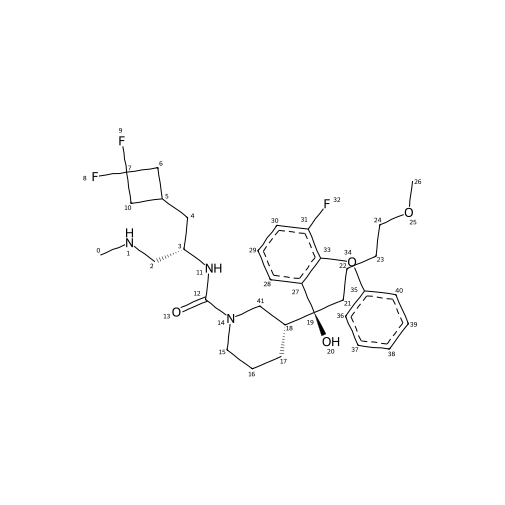 CNC[C@H](CC1CC(F)(F)C1)NC(=O)N1CCC[C@@H]([C@@](O)(CCCCOC)c2cccc(F)c2Oc2ccccc2)C1